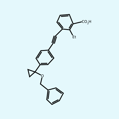 CCc1c(C#Cc2ccc(C3(OCc4ccccc4)CC3)cc2)cccc1C(=O)O